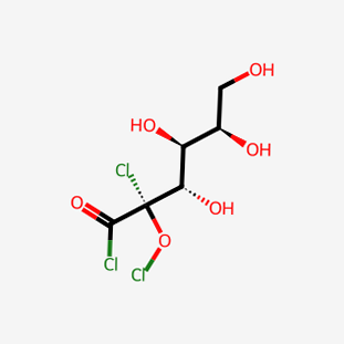 O=C(Cl)[C@](Cl)(OCl)[C@@H](O)[C@@H](O)[C@H](O)CO